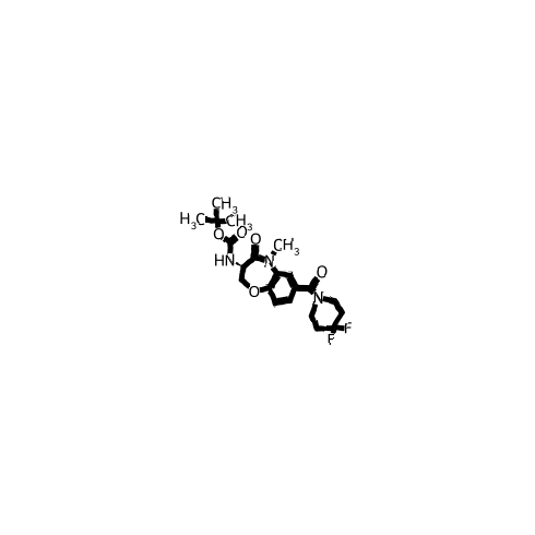 CN1C(=O)[C@@H](NC(=O)OC(C)(C)C)COc2ccc(C(=O)N3CCC(F)(F)CC3)cc21